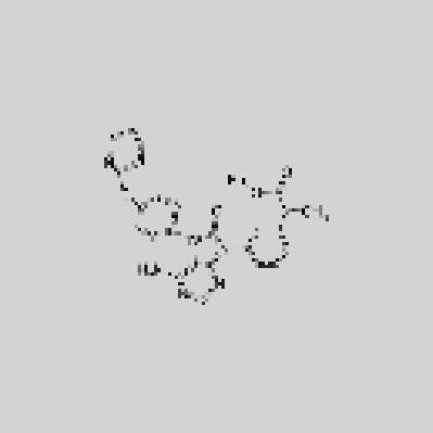 CN(C(=O)OC(C)(C)C)c1cccc(-n2c(=O)n(-c3ncc(Oc4ccccn4)cn3)c3c(N)ncnc32)c1